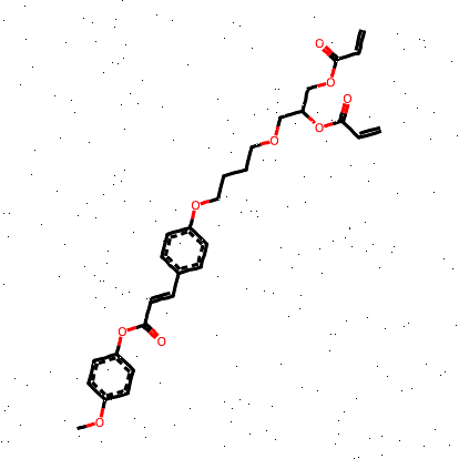 C=CC(=O)OCC(COCCCCOc1ccc(/C=C/C(=O)Oc2ccc(OC)cc2)cc1)OC(=O)C=C